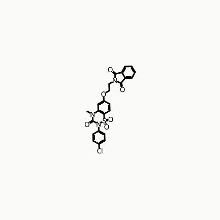 CN1C(=O)N(c2ccc(Cl)cc2)S(=O)(=O)c2ccc(OCCN3C(=O)c4ccccc4C3=O)cc21